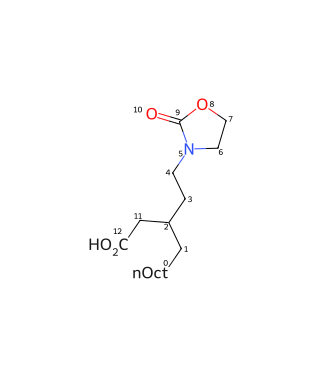 CCCCCCCCCC(CCN1CCOC1=O)CC(=O)O